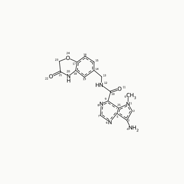 Cn1cc(N)c2ncnc(C(=O)NCc3ccc4c(c3)NC(=O)CO4)c21